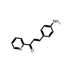 Nc1ccc(/C=C/C(=O)c2ccccn2)cc1